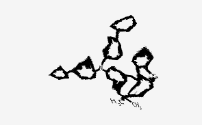 CC1(C)c2ccc(N(c3ccc(-c4ccccc4)cc3)c3ccc(-c4ccccc4)cc3)cc2-c2c1ccc1sc3ccccc3c21